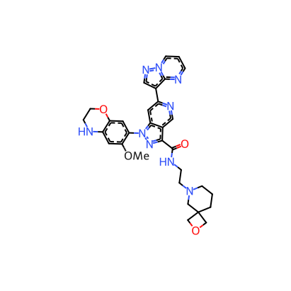 COc1cc2c(cc1-n1nc(C(=O)NCCN3CCCC4(COC4)C3)c3cnc(-c4cnn5cccnc45)cc31)OCCN2